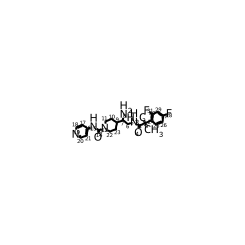 CC(C)(C(=O)NCC(N)C1CCN(C(=O)Nc2ccncc2)CC1)c1ccc(F)cc1F